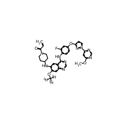 [2H]C([2H])([2H])Oc1cc2ncnc(Nc3ccc(Oc4ccn(-c5cc(OC)ncn5)n4)cc3F)c2cc1NC1CCN(C(=O)C=C)CC1